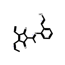 C=CC1=C(/C=C\C)C(=O)C(/C(C)=N/c2ccccc2/C=C/O)C1=O